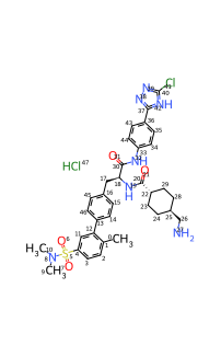 Cc1ccc(S(=O)(=O)N(C)C)cc1-c1ccc(C[C@H](NC(=O)[C@H]2CC[C@H](CN)CC2)C(=O)Nc2ccc(-c3nnc(Cl)[nH]3)cc2)cc1.Cl